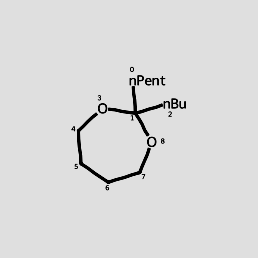 CCCCCC1(CCCC)OCCCCO1